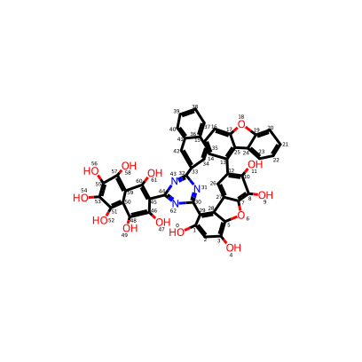 Oc1cc(O)c2oc3c(O)c(O)c(-c4cccc5oc6ccccc6c45)cc3c2c1-c1nc(-c2ccc3ccccc3c2)nc(-c2c(O)c(O)c3c(O)c(O)c(O)c(O)c3c2O)n1